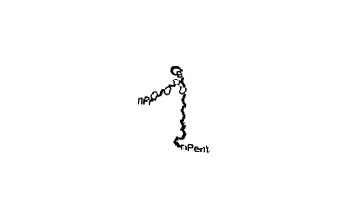 CCCCC/C=C\C/C=C\CCCCCCCCOCC(CB1CCCCC1)OCCOCCOCCC